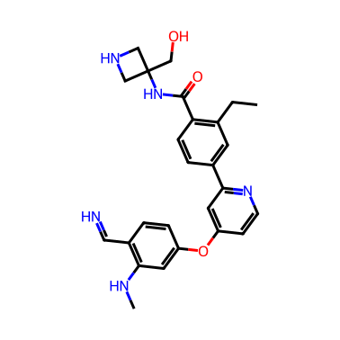 CCc1cc(-c2cc(Oc3ccc(C=N)c(NC)c3)ccn2)ccc1C(=O)NC1(CO)CNC1